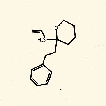 C=C[SiH2]C1(CCc2ccccc2)CCCCO1